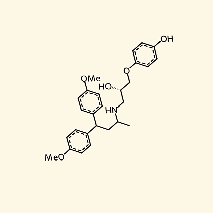 COc1ccc(C(CC(C)NC[C@H](O)COc2ccc(O)cc2)c2ccc(OC)cc2)cc1